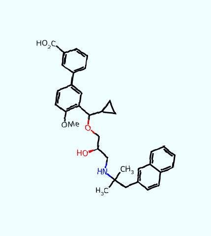 COc1ccc(-c2cccc(C(=O)O)c2)cc1C(OC[C@H](O)CNC(C)(C)Cc1ccc2ccccc2c1)C1CC1